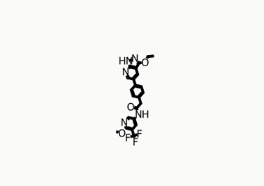 CCOc1n[nH]c2ncc(-c3ccc(CC(=O)Nc4cnc(OC)c(C(F)(F)F)c4)cc3)cc12